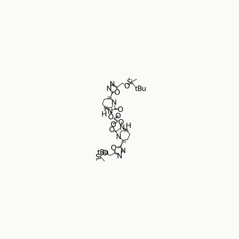 CC(C)(C)[Si](C)(C)OCc1nnc([C@@H]2CC[C@@H]3CN2C(=O)N3OS(=O)(=O)ON2C(=O)N3C[C@H]2CC[C@H]3c2nnc(CO[Si](C)(C)C(C)(C)C)o2)o1